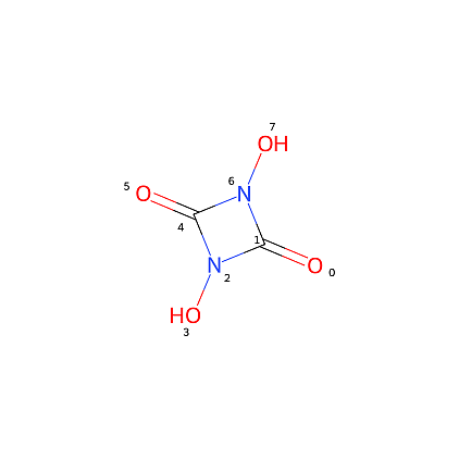 O=C1N(O)C(=O)N1O